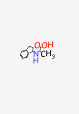 CC(NC1CCc2ccccc21)C(=O)O